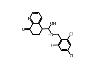 O=C1CCC(C(O)NCc2c(F)cc(Cl)cc2Cl)c2cccnc21